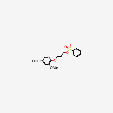 COc1cc(C=O)ccc1OCCCOS(=O)(=O)c1ccccc1